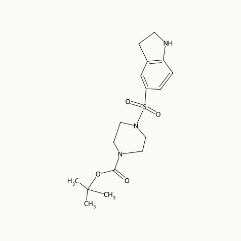 CC(C)(C)OC(=O)N1CCN(S(=O)(=O)c2ccc3c(c2)CCN3)CC1